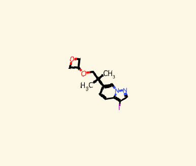 CC(C)(COC1COC1)c1ccc2c(I)cnn2c1